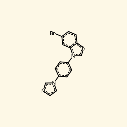 Brc1ccc2ncn(-c3ccc(-n4ccnc4)cc3)c2c1